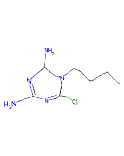 CCCCN1C(Cl)=NC(N)=NC1N